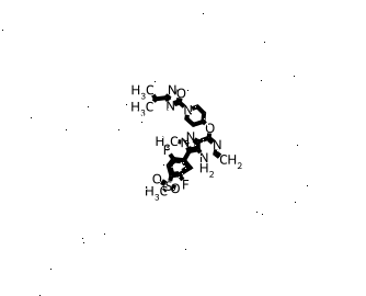 C=C/N=C(/OC1CCN(c2nc(C(C)C)no2)CC1)c1nn(C)c(-c2cc(F)c(S(C)(=O)=O)cc2F)c1N